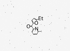 CCc1ccc(C(=O)c2cccc(C)n2)o1